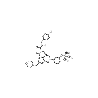 CC(C)(C)[Si](C)(C)Oc1cccc(C2Cn3cc(C(=O)NCc4ccc(Cl)cc4)c(=O)c4cc(CN5CCOCC5)cc(c43)O2)c1